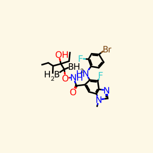 BC(B)(ONC(=O)c1cc2c(ncn2C)c(F)c1Nc1ccc(Br)cc1F)C(O)(CC)C(C)CC